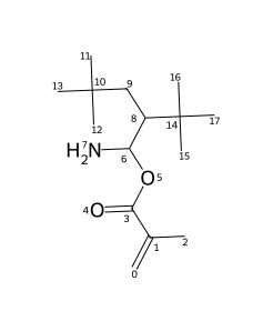 C=C(C)C(=O)OC(N)C(CC(C)(C)C)C(C)(C)C